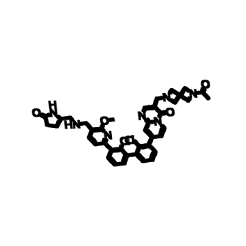 COc1nc(-c2cccc(-c3cccc(-c4ccn5c(=O)c(CN6CC7(C6)CN(C(C)=O)C7)cnc5c4)c3Cl)c2Cl)ccc1CNCC1CCC(=O)N1